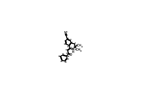 CC1(C)Cc2cc(C#N)ccc2C(=CC(=O)c2ccccc2)N1